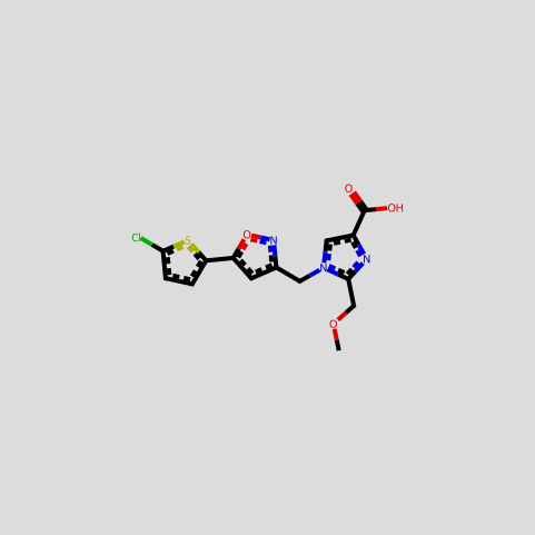 COCc1nc(C(=O)O)cn1Cc1cc(-c2ccc(Cl)s2)on1